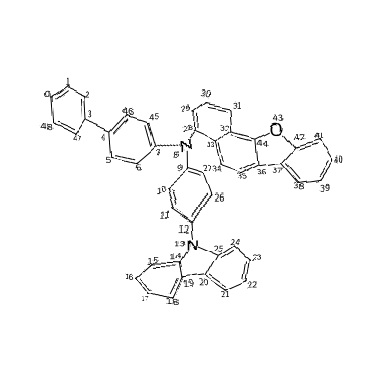 c1ccc(-c2ccc(N(c3ccc(-n4c5ccccc5c5ccccc54)cc3)c3cccc4c3ccc3c5ccccc5oc43)cc2)cc1